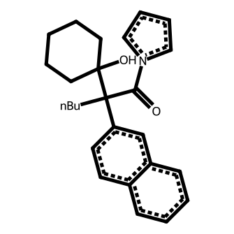 CCCCC(C(=O)n1cccc1)(c1ccc2ccccc2c1)C1(O)CCCCC1